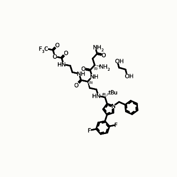 CC(C)(C)[C@@H](NCC[C@H](NC(=O)[C@@H](N)CC(N)=O)C(=O)NCCNC(=O)OC(=O)C(F)(F)F)c1cc(-c2cc(F)ccc2F)cn1Cc1ccccc1.OCCO